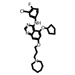 Fc1ccc(Nc2ncnc3cc(OCCCN4CCCCCC4)cc(OC4CCCC4)c23)cc1Cl